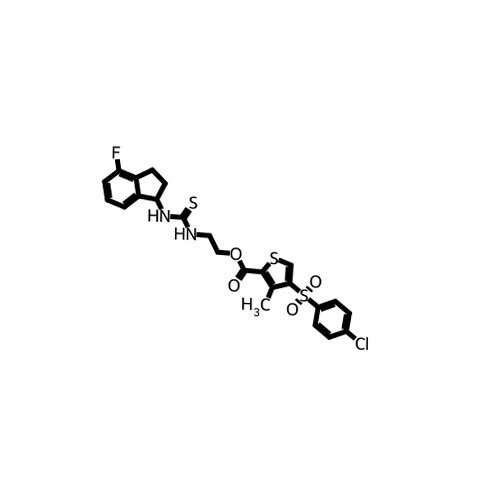 Cc1c(S(=O)(=O)c2ccc(Cl)cc2)csc1C(=O)OCCNC(=S)NC1CCc2c(F)cccc21